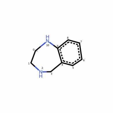 [C]1CNCc2ccccc2N1